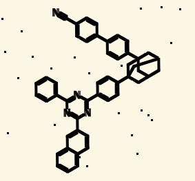 N#Cc1ccc(-c2ccc(C34CC5CC(C3)CC(c3ccc(-c6nc(-c7ccccc7)nc(-c7ccc8ccccc8c7)n6)cc3)(C5)C4)cc2)cc1